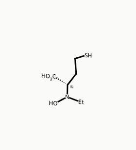 CCN(O)[C@@H](CCS)C(=O)O